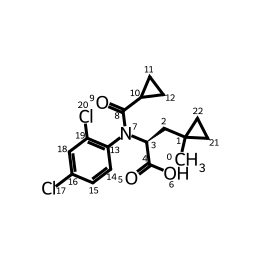 CC1(C[C@@H](C(=O)O)N(C(=O)C2CC2)c2ccc(Cl)cc2Cl)CC1